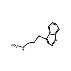 O=C(O)NCCCc1ccnc2ccccc12